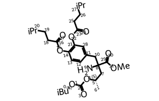 CC[C@H](C)OC(=O)O[C@@H](C)CC(N)(Cc1ccc(OC(=O)CCC(C)C)c(OC(=O)CCC(C)C)c1)C(=O)OC